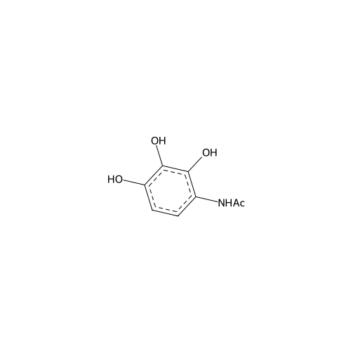 CC(=O)Nc1ccc(O)c(O)c1O